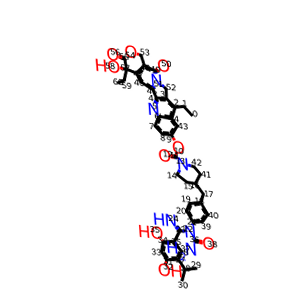 CCc1c2c(nc3ccc(OC(=O)N4CCC(Cc5ccc(N(C(=N)c6cc(C(C)C)c(O)cc6O)C(N)=O)cc5)CC4)cc13)-c1cc3c(c(=O)n1C2)COC(=O)C3(O)CC